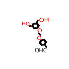 O=CCc1ccc(OCCOc2cc(CO)cc(CO)c2)cc1